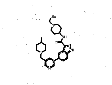 CC1CCN(Cc2cncc(-c3ccc4[nH]nc(C(=O)NC5CCN(CC(C)(C)C)CC5)c4c3)c2)CC1